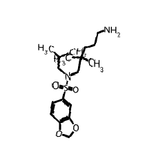 CC(C)CN(CC(C)(C)CCCN)S(=O)(=O)c1ccc2c(c1)OCO2